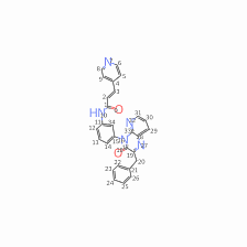 O=C(C=Cc1ccncc1)Nc1cccc(-n2c(=O)c(Cc3ccccc3)nc3cccnc32)c1